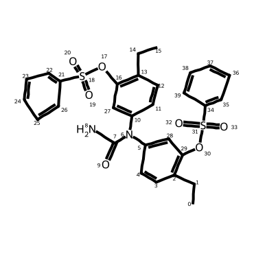 CCc1ccc(N(C(N)=O)c2ccc(CC)c(OS(=O)(=O)c3ccccc3)c2)cc1OS(=O)(=O)c1ccccc1